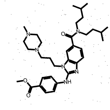 COC(=O)c1ccc(Nc2nc3ccc(C(=O)N(CCC(C)C)CCC(C)C)cc3n2CCCN2CCN(C)CC2)cc1